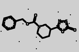 O=C(OCc1ccccc1)N1CCCC(c2nsc(=O)o2)C1